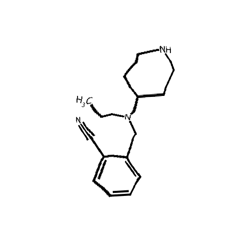 CCN(Cc1ccccc1C#N)C1CCNCC1